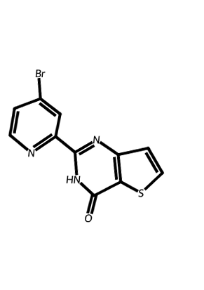 O=c1[nH]c(-c2cc(Br)ccn2)nc2ccsc12